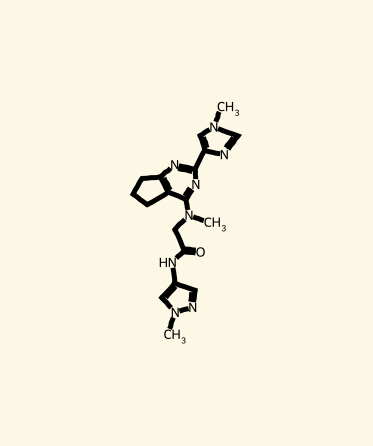 CN(CC(=O)Nc1cnn(C)c1)c1nc(-c2cn(C)cn2)nc2c1CCC2